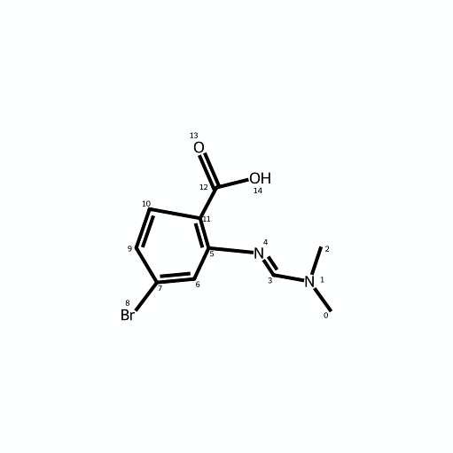 CN(C)C=Nc1cc(Br)ccc1C(=O)O